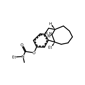 CCN(C)C(=O)Oc1ccc2c(c1)[C@@]1(CC)CCCCC[C@@H](C2)[C@@H]1N